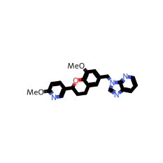 COc1ccc(C2CCc3cc(Cn4cnc5cccnc54)cc(OC)c3O2)cn1